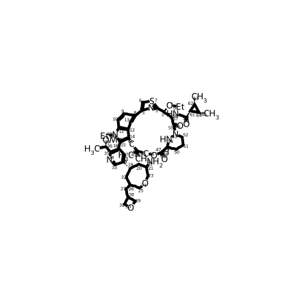 CCO[C@@H]1c2nc(cs2)-c2ccc3c(c2)c(c(-c2cc([C@@H]4CC(N)COCC(CC5COC5)C4)cnc2[C@H](C)OC)n3CC)CC(C)(C)COC(=O)[C@@H]2CCCN(N2)C(=O)[C@H]1NC(=O)[C@H]1[C@H](C)[C@@H]1C